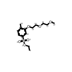 CCOS(=O)(=O)c1ccc(C)c(OCCOCCOC)c1